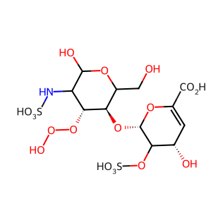 O=C(O)C1=C[C@H](O)C(OS(=O)(=O)O)[C@H](O[C@@H]2C(CO)OC(O)C(NS(=O)(=O)O)[C@H]2OOO)O1